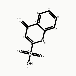 O=c1cc(S(=O)(=O)O)oc2ccccc12